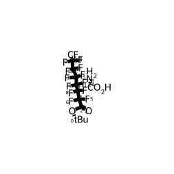 CC(C)(C)OC(=O)C(F)(F)C(F)(F)C(F)(F)C(F)(F)C(F)(F)C(F)(F)C(F)(F)F.NC(=O)O